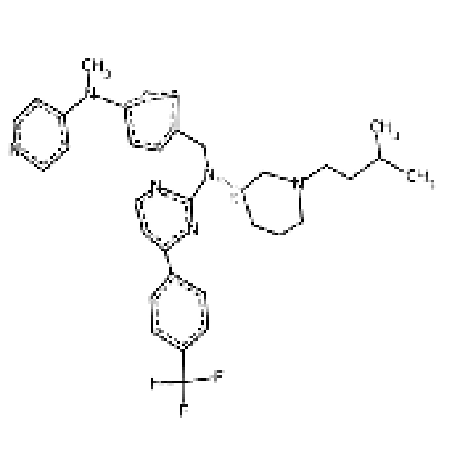 CC(C)CCN1CCC[C@H](N(Cc2ccc(N(C)c3ccncc3)cc2)c2nccc(-c3ccc(C(F)(F)F)cc3)n2)C1